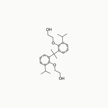 CC(C)c1cccc(C(C)(C)c2cccc(C(C)C)c2OCCO)c1OCCO